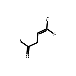 O=C(I)CC=C(F)F